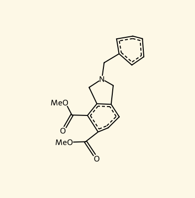 COC(=O)c1ccc2c(c1C(=O)OC)CN(Cc1ccccc1)C2